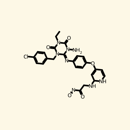 CCn1c(=O)n(N)/c(=N\c2ccc(OC3=CC(NCC(=O)N=O)NC=C3)cc2)n(Cc2ccc(Cl)cc2)c1=O